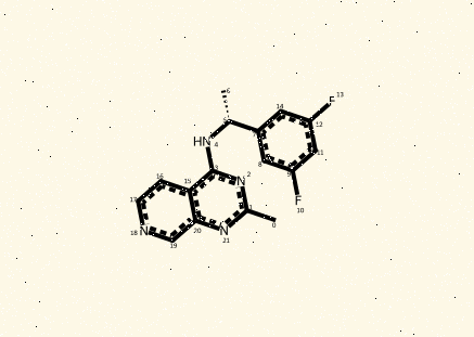 Cc1nc(N[C@H](C)c2cc(F)cc(F)c2)c2ccncc2n1